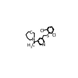 C=C(c1cncc(CSc2c(Cl)cccc2Cl)c1)N1CCCCCCC1